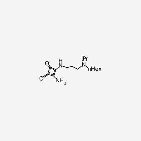 CCCCCCN(CCCNc1c(N)c(=O)c1=O)C(C)C